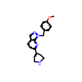 COc1ccc(Cn2ncc3ccc(C4=CCNCC4)nc32)cc1